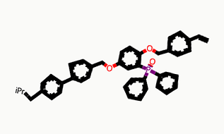 C=Cc1ccc(COc2ccc(OCc3ccc(-c4ccc(CC(C)C)cc4)cc3)cc2P(=O)(c2ccccc2)c2ccccc2)cc1